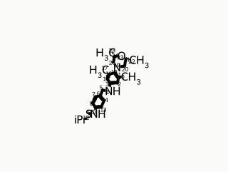 Cc1cc(NCc2ccc(NSC(C)C)cc2)cc(C)c1N1C[C@@H](C)O[C@@H](C)C1